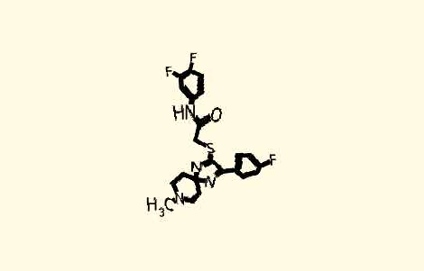 CN1CCC2(CC1)N=C(SCC(=O)Nc1ccc(F)c(F)c1)C(c1ccc(F)cc1)=N2